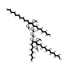 CCCCCCCCCCC(OC)=C(OC)C(CCCCCCC)OCOCOC(CCCCCCC)C(OC)=C(CCCCCCCCCC)OC